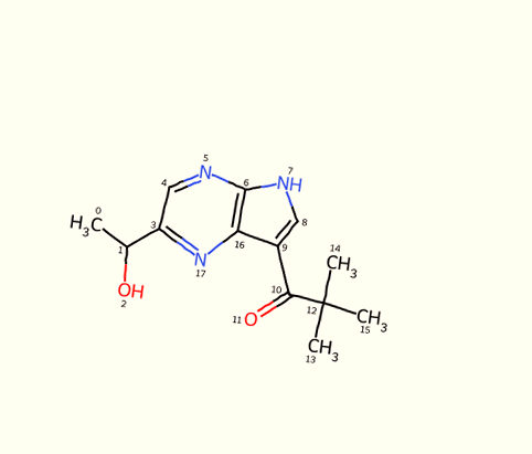 CC(O)c1cnc2[nH]cc(C(=O)C(C)(C)C)c2n1